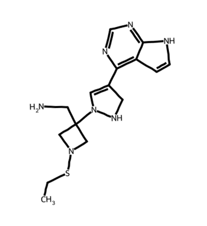 CCSN1CC(CN)(N2C=C(c3ncnc4[nH]ccc34)CN2)C1